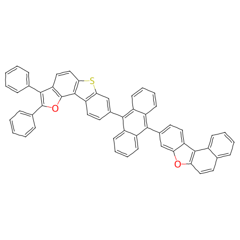 c1ccc(-c2oc3c(ccc4sc5cc(-c6c7ccccc7c(-c7ccc8c(c7)oc7ccc9ccccc9c78)c7ccccc67)ccc5c43)c2-c2ccccc2)cc1